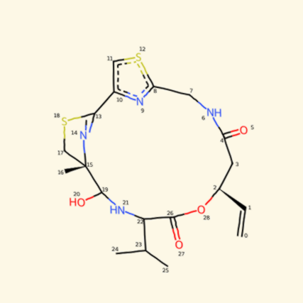 C=C[C@@H]1CC(=O)NCc2nc(cs2)C2=N[C@@](C)(CS2)C(O)NC(C(C)C)C(=O)O1